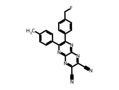 Cc1ccc(-c2nc3nc(C#N)c(C#N)nc3nc2-c2ccc(CF)cc2)cc1